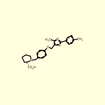 Cc1ccc(-c2nc(COc3ccc(CN4CCCC[C@H]4C(=O)O)cc3)c(C)o2)cc1